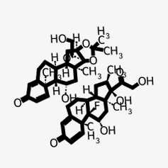 CC1(C)O[C@@H]2C[C@H]3[C@@H]4CCC5=CC(=O)C=C[C@]5(C)[C@H]4[C@@H](O)C[C@]3(C)[C@]2(C(=O)CO)O1.C[C@@H]1C[C@H]2[C@@H]3CCC4=CC(=O)C=C[C@]4(C)[C@@]3(F)[C@@H](O)C[C@]2(C)[C@@]1(O)C(=O)CO